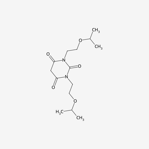 CC(C)OCCN1C(=O)CC(=O)N(CCOC(C)C)C1=O